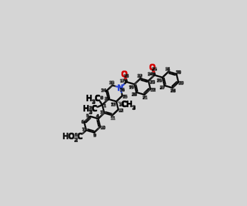 CC1(C)C(c2ccc(C(=O)O)cc2)=CC[C@]2(C)CN(C(=O)c3cccc(C(=O)c4ccccc4)c3)CC=C12